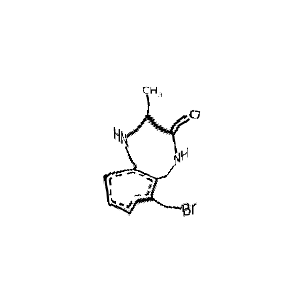 CC1Nc2cccc(Br)c2NC1=O